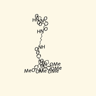 CC[C@H](C(=O)N1CCCC[C@H]1C(=O)O[C@H](CCc1ccc(OC)c(OC)c1)c1ccc(OCC(=O)NCCCCCCCCNC(=O)Cc2cccc3c2C(=O)N(C2CCC(=O)NC2=O)C3=O)cc1)c1cc(OC)c(OC)c(OC)c1